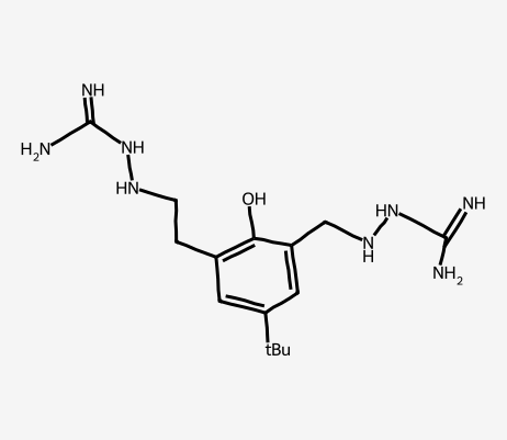 CC(C)(C)c1cc(CCNNC(=N)N)c(O)c(CNNC(=N)N)c1